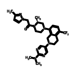 Cc1ccn(CC(=O)N2CCN(c3ccc(C(F)(F)F)c4c3CN(c3cnc(N(C)C)nc3)CC4)C[C@H]2C)n1